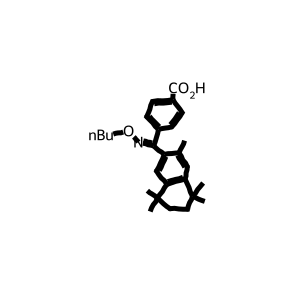 CCCCON=C(c1ccc(C(=O)O)cc1)c1cc2c(cc1C)C(C)(C)CCC2(C)C